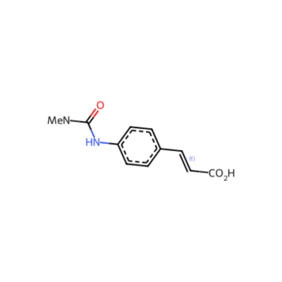 CNC(=O)Nc1ccc(/C=C/C(=O)O)cc1